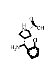 NC(c1ccccc1Cl)[C@@H]1CN[C@H](C(=O)O)C1